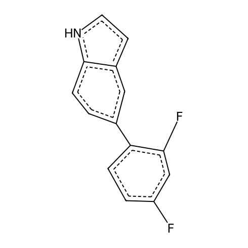 Fc1ccc(-c2ccc3[nH]ccc3c2)c(F)c1